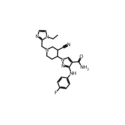 CCn1ccnc1CN1CCC(n2cc(C(N)=O)c(Nc3ccc(F)cc3)n2)C(C#N)C1